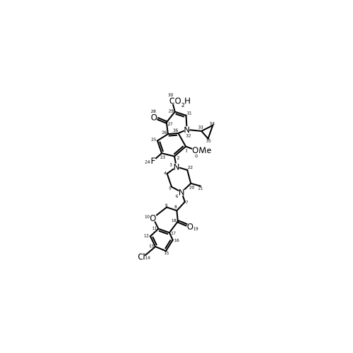 COc1c(N2CCN(CC3COc4cc(Cl)ccc4C3=O)C(C)C2)c(F)cc2c(=O)c(C(=O)O)cn(C3CC3)c12